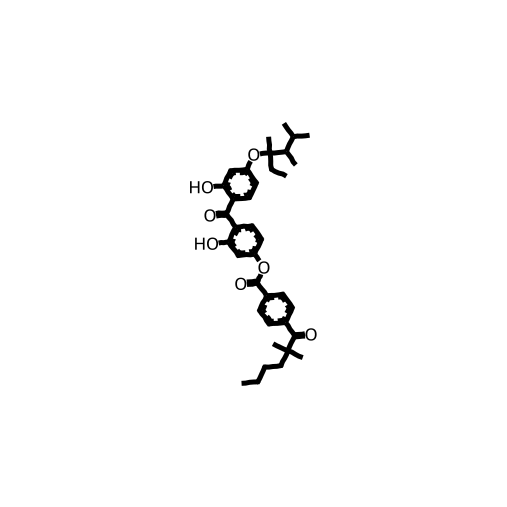 CCCCC(C)(C)C(=O)c1ccc(C(=O)Oc2ccc(C(=O)c3ccc(OC(C)(CC)C(C)C(C)C)cc3O)c(O)c2)cc1